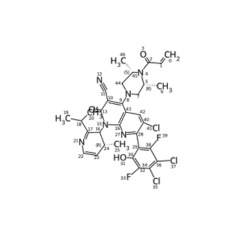 C=CC(=O)N1[C@H](C)CN(c2c(C#N)c(=O)n(C3C(C(C)C)=NC=C[C@H]3C)c3nc(-c4c(O)c(F)c(Cl)c(Cl)c4F)c(Cl)cc23)C[C@@H]1C